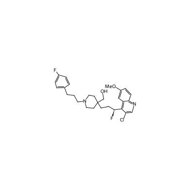 COc1ccc2ncc(Cl)c([C@@H](F)CCC3(CO)CCN(CCCc4ccc(F)cc4)CC3)c2c1